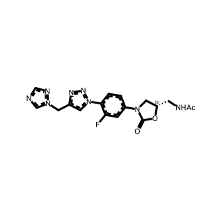 CC(=O)NC[C@H]1CN(c2ccc(-n3cc(Cn4cncn4)nn3)c(F)c2)C(=O)O1